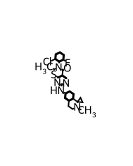 CC1Sc2nc(Nc3ccc4c(c3)CCN(C)C43CC3)ncc2C(=O)N1c1c(F)cccc1Cl